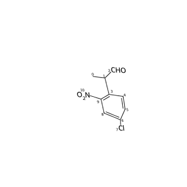 CC(C=O)c1ccc(Cl)cc1[N+](=O)[O-]